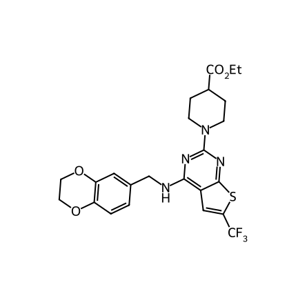 CCOC(=O)C1CCN(c2nc(NCc3ccc4c(c3)OCCO4)c3cc(C(F)(F)F)sc3n2)CC1